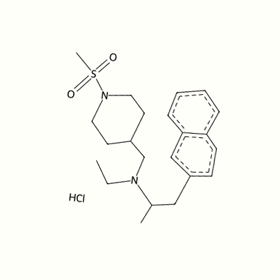 CCN(CC1CCN(S(C)(=O)=O)CC1)C(C)Cc1ccc2ccccc2c1.Cl